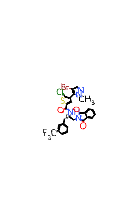 Cn1ncc(Br)c1-c1cc(C(=O)N[C@@H](Cc2cccc(C(F)(F)F)c2)CN2C(=O)c3ccccc3C2=O)sc1Cl